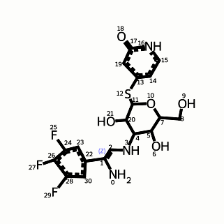 N/C(=C\NC1C(O)C(CO)OC(Sc2cc[nH]c(=O)c2)C1O)c1cc(F)c(F)c(F)c1